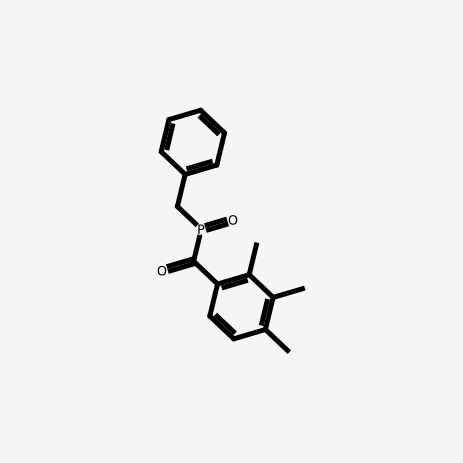 Cc1ccc(C(=O)[P](=O)Cc2ccccc2)c(C)c1C